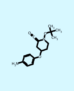 CC(C)(C)ON1CCC(Oc2ccc(N)cc2)CC1=C=O